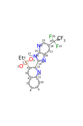 CCS(=O)(=O)c1cc2ccccc2nc1-c1nc2cc(C(F)(F)C(F)(F)F)cnc2n1C